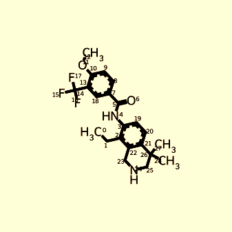 CCc1c(NC(=O)c2ccc(OC)c(C(F)(F)F)c2)ccc2c1CNCC2(C)C